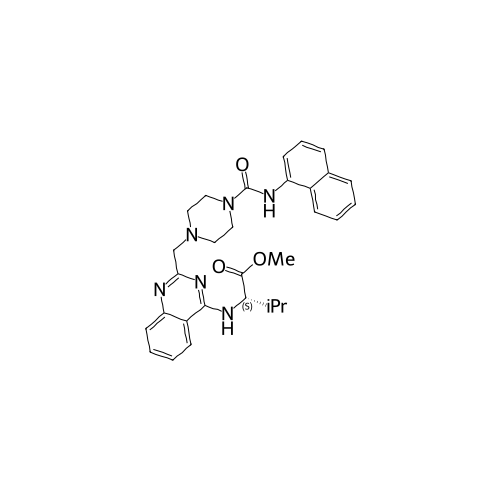 COC(=O)[C@@H](Nc1nc(CN2CCN(C(=O)Nc3cccc4ccccc34)CC2)nc2ccccc12)C(C)C